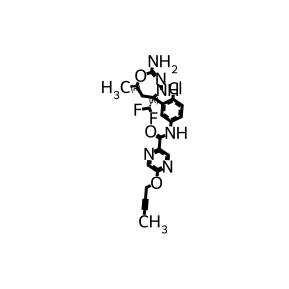 CC#CCOc1cnc(C(=O)Nc2ccc(Cl)c([C@@]3(C(F)F)C[C@@H](C)OC(N)=NN3)c2)cn1